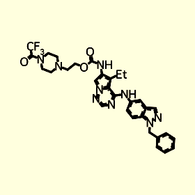 CCc1c(NC(=O)OCCN2CCN(C(=O)C(F)(F)F)CC2)cn2ncnc(Nc3ccc4c(cnn4Cc4ccccc4)c3)c12